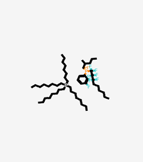 CCCCCCC(F)(F)C(F)(F)C(F)(F)[PH+](CC(C)CCC)c1cccc(F)c1F.CCCCCCCC[B-](CCCCCCCC)(CCCCCCCC)CCCCCCCC